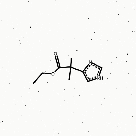 CCOC(=O)C(C)(C)c1c[nH]cn1